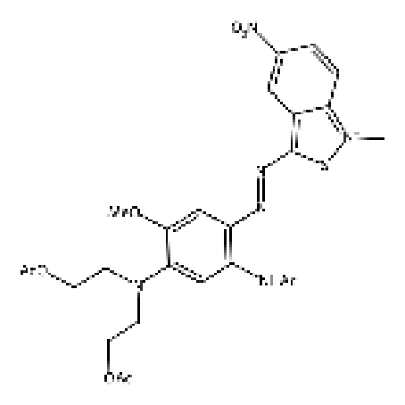 COc1cc(N=Nc2s[n+](C)c3ccc([N+](=O)[O-])cc23)c(NC(C)=O)cc1N(CCOC(C)=O)CCOC(C)=O